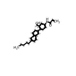 C=CC(=O)Nc1ccc(-c2ccc3cc(CCCCC)ccc3c2)c(CC)c1